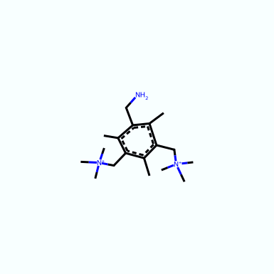 Cc1c(CN)c(C)c(C[N+](C)(C)C)c(C)c1C[N+](C)(C)C